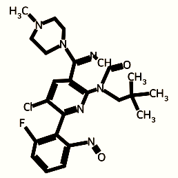 C/N=C(\c1cc(Cl)c(-c2c(F)cccc2N=O)nc1N(C=O)CC(C)(C)C)N1CCN(C)CC1